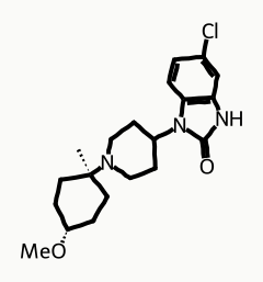 CO[C@H]1CC[C@](C)(N2CCC(n3c(=O)[nH]c4cc(Cl)ccc43)CC2)CC1